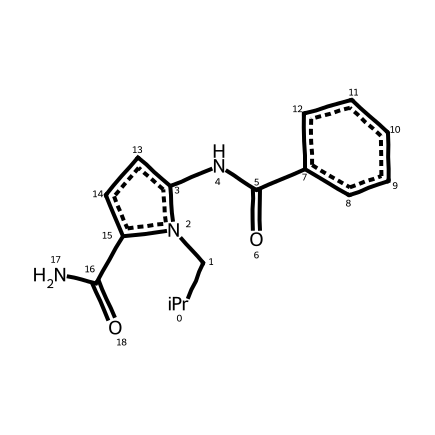 CC(C)Cn1c(NC(=O)c2ccccc2)ccc1C(N)=O